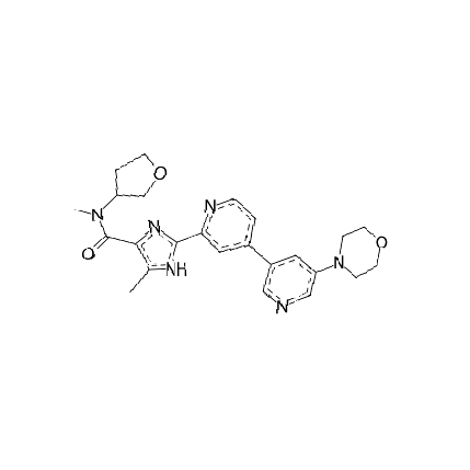 Cc1[nH]c(-c2cc(-c3cncc(N4CCOCC4)c3)ccn2)nc1C(=O)N(C)C1CCOC1